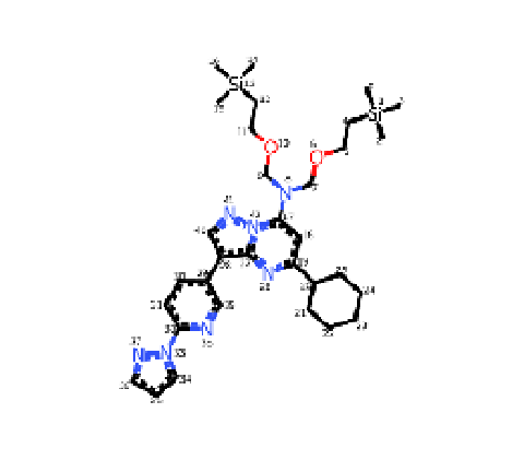 C[Si](C)(C)CCOCN(COCC[Si](C)(C)C)c1cc(C2CCCCC2)nc2c(-c3ccc(-n4cccn4)nc3)cnn12